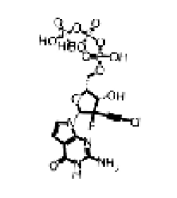 Nc1nc2c(ccn2[C@@H]2O[C@H](COP(=O)(O)OP(=O)(O)OP(=O)(O)O)[C@H](O)C2(F)C#CCl)c(=O)[nH]1